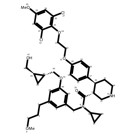 COCCCc1cc(CN(C(=O)[C@H]2CNCC[C@@H]2c2ccc(OCCOc3c(Cl)cc(OC)cc3Cl)cc2)C2CC2)cc(OC[C@@H]2C[C@H]2CO)c1